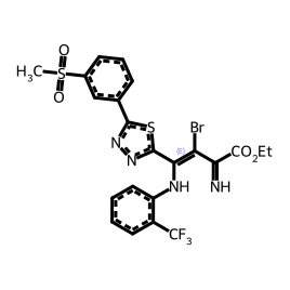 CCOC(=O)C(=N)/C(Br)=C(\Nc1ccccc1C(F)(F)F)c1nnc(-c2cccc(S(C)(=O)=O)c2)s1